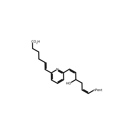 CCCCC/C=C\CC(O)/C=C\c1cccc(/C=C/CCCC(=O)O)n1